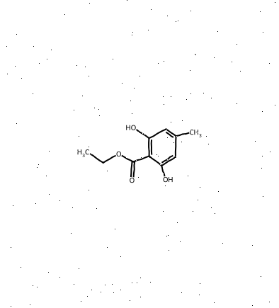 CCOC(=O)c1c(O)cc(C)cc1O